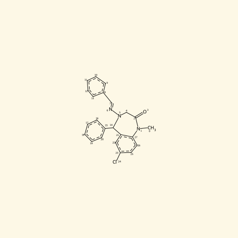 CN1C(=O)CN(N=Cc2ccccc2)C(c2ccccc2)c2cc(Cl)ccc21